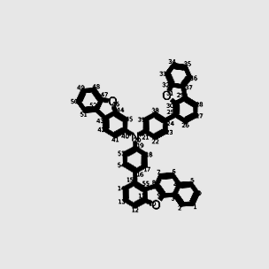 c1ccc2c(c1)ccc1c2oc2cccc(-c3ccc(N(c4ccc(-c5cccc6c5oc5ccccc56)cc4)c4ccc5c(c4)oc4ccccc45)cc3)c21